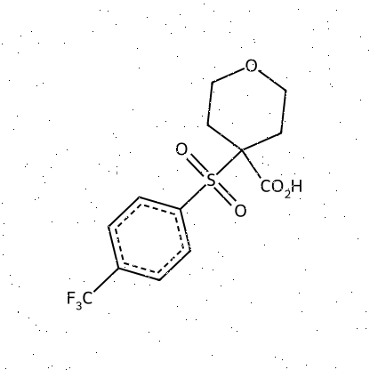 O=C(O)C1(S(=O)(=O)c2ccc(C(F)(F)F)cc2)CCOCC1